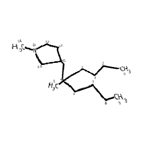 CCCCC(C)(CCCC)C1CCN(C)C1